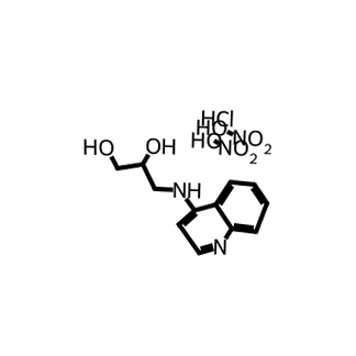 Cl.O=[N+]([O-])O.O=[N+]([O-])O.OCC(O)CNc1ccnc2ccccc12